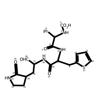 CC(C)C(NC(=O)O)C(=O)NC(Cc1cccs1)C(=O)NC(C=O)CC1CCNC1=O